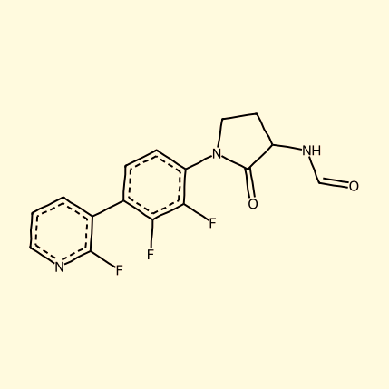 O=CNC1CCN(c2ccc(-c3cccnc3F)c(F)c2F)C1=O